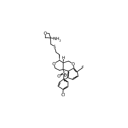 NC1(CSCC[C@@H]2OCC[C@@]3(S(=O)(=O)c4ccc(Cl)cc4)c4c(F)ccc(F)c4OC[C@@H]23)COC1